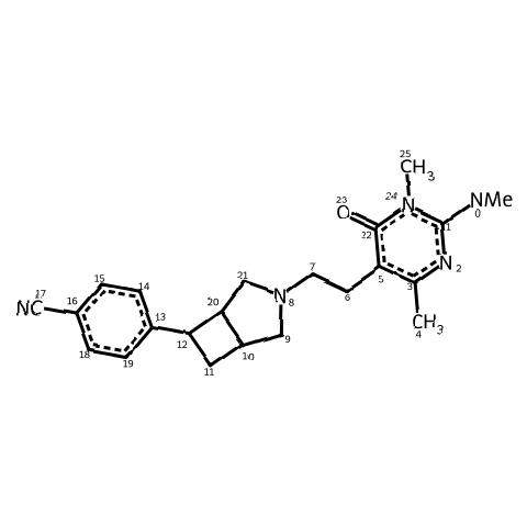 CNc1nc(C)c(CCN2CC3CC(c4ccc(C#N)cc4)C3C2)c(=O)n1C